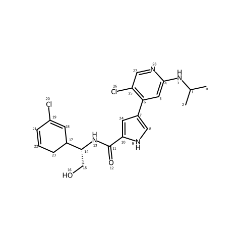 CC(C)Nc1cc(-c2c[nH]c(C(=O)N[C@H](CO)C3C=C(Cl)C=CC3)c2)c(Cl)cn1